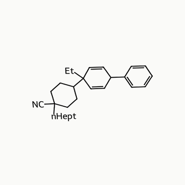 CCCCCCCC1(C#N)CCC(C2(CC)C=CC(c3ccccc3)C=C2)CC1